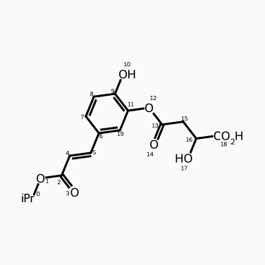 CC(C)OC(=O)/C=C/c1ccc(O)c(OC(=O)CC(O)C(=O)O)c1